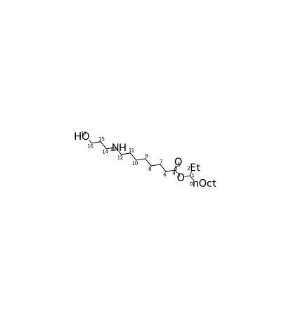 CCCCCCCCC(CC)OC(=O)CCCCCCCNCCCO